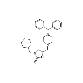 O=C1OC(CN2CCN(C(c3ccccc3)c3ccccc3)CC2)CN1CC1CCCCC1